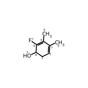 CC1=CCC(O)C(F)=C1C